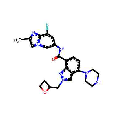 Cc1cn2cc(NC(=O)c3ccc(N4CCNCC4)c4cn(CC5CCO5)nc34)cc(F)c2n1